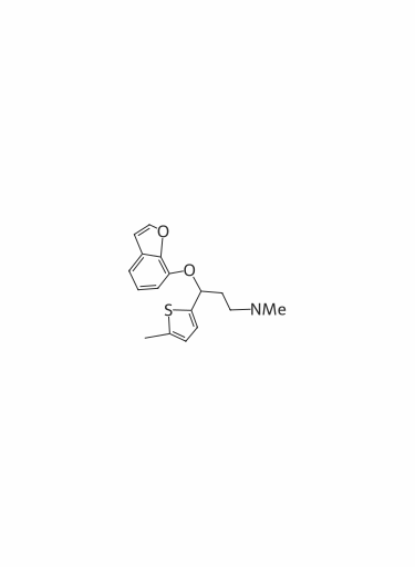 CNCCC(Oc1cccc2ccoc12)c1ccc(C)s1